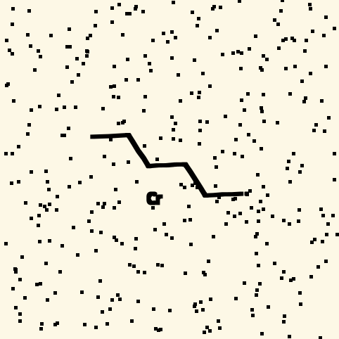 [CH2]CCCCC.[Cr]